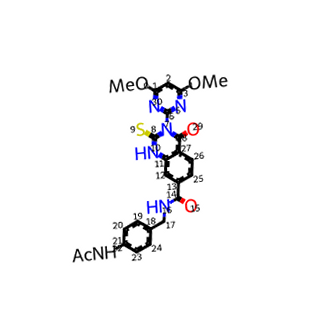 COc1cc(OC)nc(-n2c(=S)[nH]c3cc(C(=O)NCc4ccc(NC(C)=O)cc4)ccc3c2=O)n1